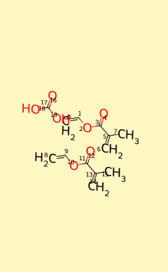 C=COC(=O)C(=C)C.C=COC(=O)C(=C)C.O=C(O)O